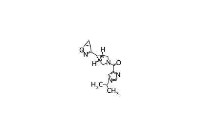 CC(C)n1cnc(C(=O)N2C[C@@H]3C(C4=NOC5CC45)[C@@H]3C2)c1